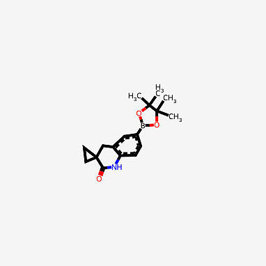 CC1(C)OB(c2ccc3c(c2)CC2(CC2)C(=O)N3)OC1(C)C